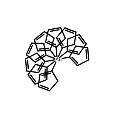 C1=CC[C]([Au]([C]2=CC=CC2)([C]2=CC=CC2)([C]2=CC=CC2)([C]2=CC=CC2)([C]2=CC=CC2)([C]2=CC=CC2)([C]2=CC=CC2)[C]2=CC=CC2)=C1